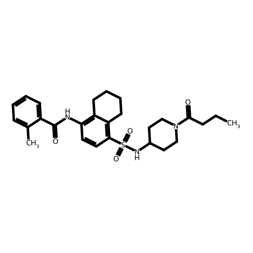 CCCC(=O)N1CCC(NS(=O)(=O)c2ccc(NC(=O)c3ccccc3C)c3c2CCCC3)CC1